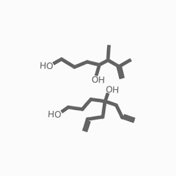 C=C(C)C(C)C(O)CCCO.C=CCC(O)(CC=C)CCCO